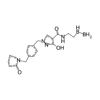 BBCCNC(=O)c1cn(Cc2ccc(Cn3ccccc3=O)cc2)nc1O